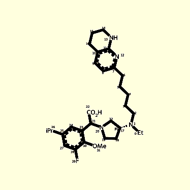 CCN(CCCCCc1ccc2c(n1)NCCC2)[C@@H]1CCN(C(C(=O)O)c2cc(C(C)C)cc(F)c2OC)C1